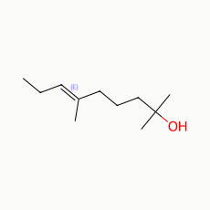 CC/C=C(\C)CCCC(C)(C)O